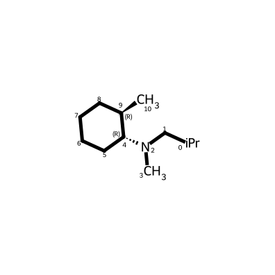 CC(C)CN(C)[C@@H]1CCCC[C@H]1C